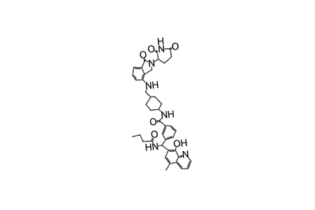 CCCC(=O)NC(c1cccc(C(=O)NC2CCC(CNc3cccc4c3CN(C3CCC(=O)NC3=O)C4=O)CC2)c1)c1cc(C)c2cccnc2c1O